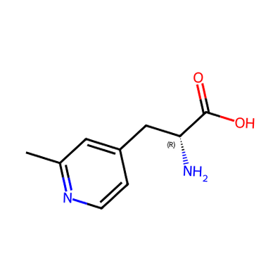 Cc1cc(C[C@@H](N)C(=O)O)ccn1